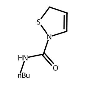 CCCCNC(=O)N1C=CCS1